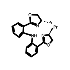 CC(C)[C@H]1COC(c2ccccc2Nc2ccccc2C2=N[C@@H](C(C)C)CO2)=N1